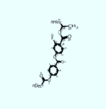 CCCCCCCCCCC(=O)Oc1ccc(C(=O)Oc2ccc(C(=O)OC(C)CCCCCC)c(F)c2)cc1